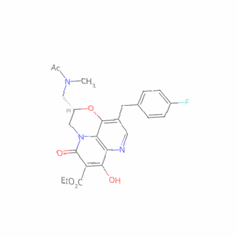 CCOC(=O)c1c(O)c2ncc(Cc3ccc(F)cc3)c3c2n(c1=O)C[C@H](CN(C)C(C)=O)O3